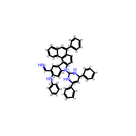 N=Cc1cc2c3c4c(ccc3n(C3NC(c5ccccc5)=CC(c5ccccc5)N3)c2cc1Nc1ccccc1)c(-c1ccccc1)cc1ccccc14